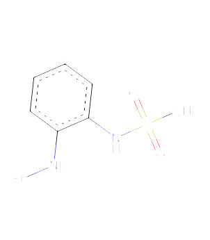 CCNc1ccccc1NS(C)(=O)=O